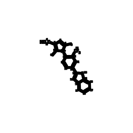 Cc1cc(C(=O)O)c(C)n1-c1ccc(-c2cc3ccccc3s2)cc1C(F)(F)F